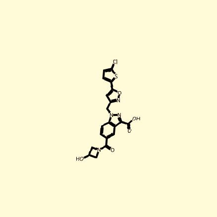 O=C(O)c1nn(Cc2cc(-c3ccc(Cl)s3)on2)c2ccc(C(=O)N3CC(O)C3)cc12